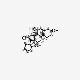 C[C@]12CC[C@H](O)CC1=C[C@H](O)[C@H]1[C@@H]3CC(Cl)=C(c4cccnc4)[C@@]3(CO)CC[C@@H]12